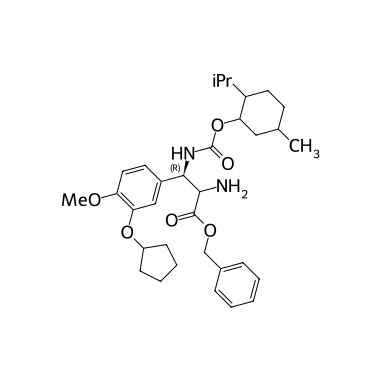 COc1ccc([C@@H](NC(=O)OC2CC(C)CCC2C(C)C)C(N)C(=O)OCc2ccccc2)cc1OC1CCCC1